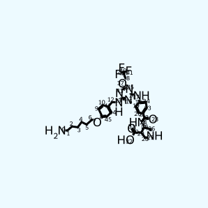 NCCCCCCOc1ccc(CNc2nc(Nc3ccc(C(=O)N[C@H]4CNCC4C(=O)O)cc3)nc(OCC(F)(F)F)n2)cc1